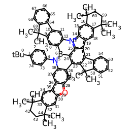 CC(C)(C)c1ccc(N2B3c4cc5c(cc4-n4c6cc7c(cc6c6c8c(c(c3c64)-c3cc4oc6cc9c(cc6c4cc32)C(C)(C)CCC9(C)C)C(C)(C)c2ccccc2-8)C(C)(C)CCC7(C)C)-c2ccccc2C5(C)C)cc1